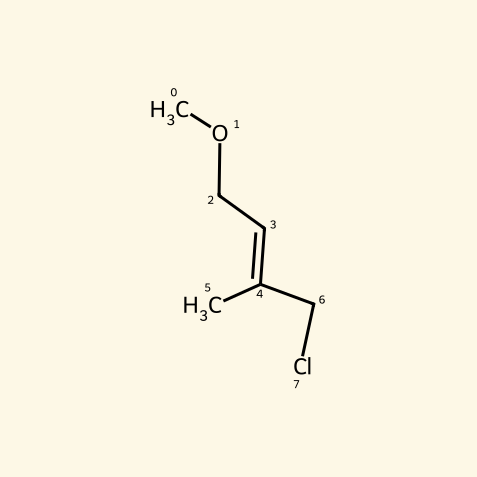 COC/C=C(\C)CCl